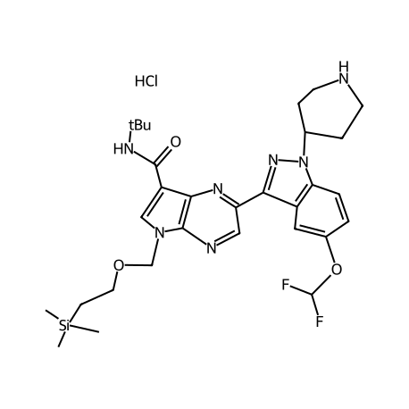 CC(C)(C)NC(=O)c1cn(COCC[Si](C)(C)C)c2ncc(-c3nn(C4CCNCC4)c4ccc(OC(F)F)cc34)nc12.Cl